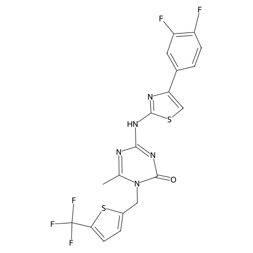 Cc1nc(Nc2nc(-c3ccc(F)c(F)c3)cs2)nc(=O)n1Cc1ccc(C(F)(F)F)s1